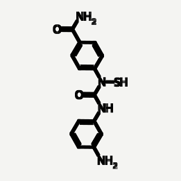 NC(=O)c1ccc(N(S)C(=O)Nc2cccc(N)c2)cc1